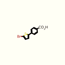 O=C(O)c1ccc(-c2ccc(Br)s2)cc1